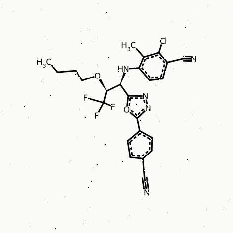 CCCCO[C@@H]([C@@H](Nc1ccc(C#N)c(Cl)c1C)c1nnc(-c2ccc(C#N)cc2)o1)C(F)(F)F